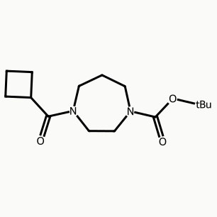 CC(C)(C)OC(=O)N1CCCN(C(=O)C2CCC2)CC1